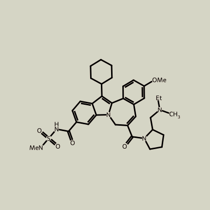 CCN(C)CC1CCCN1C(=O)C1=Cc2cc(OC)ccc2-c2c(C3CCCCC3)c3ccc(C(=O)NS(=O)(=O)NC)cc3n2C1